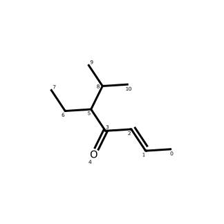 CC=CC(=O)C(CC)C(C)C